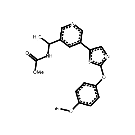 COC(=O)NC(C)c1cncc(-c2cnc(Oc3ccc(OC(C)C)cc3)s2)c1